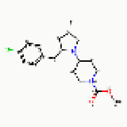 CC1CC(Cc2ccc(Cl)cc2)N(C2CCN(C(=O)OC(C)(C)C)CC2)C1